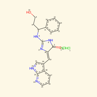 Cl.Cl.O=C1NC(NC(CCO)c2ccccc2)=NC1=Cc1c[nH]c2ncccc12